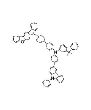 CC1(C)c2ccccc2-c2ccc(N(c3ccc(-c4ccc(-n5c6ccccc6c6cc7c(cc65)oc5ccccc57)cc4)cc3)c3ccc(-c4ccc5c(c4)c4ccccc4n5-c4ccccc4)cc3)cc21